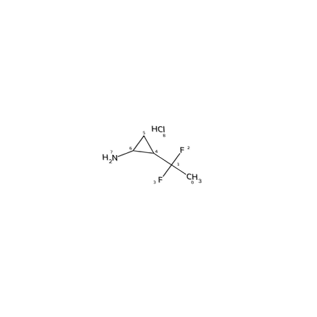 CC(F)(F)C1CC1N.Cl